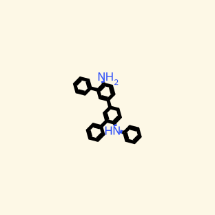 Nc1ccc(C2C=C(c3ccccc3)C(Nc3ccccc3)=CC2)cc1-c1ccccc1